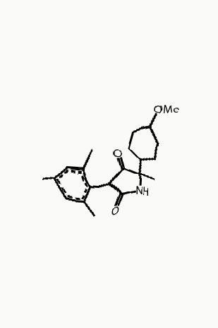 COC1CCC(C2(C)NC(=O)C(c3c(C)cc(C)cc3C)C2=O)CC1